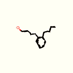 CCCCc1ccccc1CCCC[O]